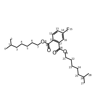 CC(C)CCCCCOC(=O)c1ccc(F)cc1C(=O)OCCCCCC(C)C